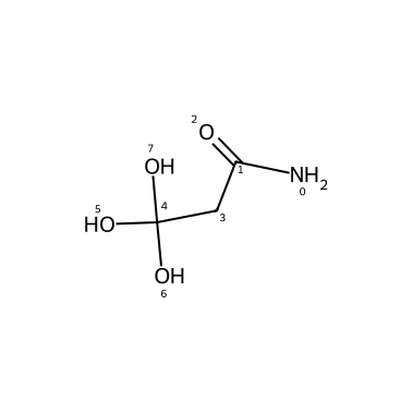 NC(=O)CC(O)(O)O